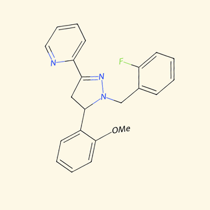 COc1ccccc1C1CC(c2ccccn2)=NN1Cc1ccccc1F